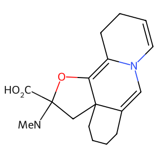 CNC1(C(=O)O)CC23CCCCC2=CN2C=CCCC2=C3O1